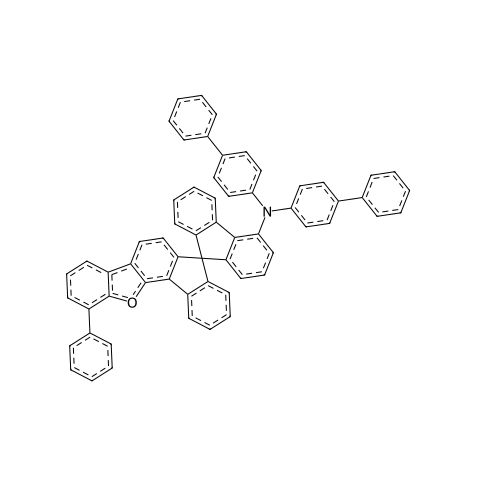 c1ccc(-c2ccc(N(c3ccc(-c4ccccc4)cc3)c3cccc4c3-c3ccccc3C43c4ccccc4-c4c3ccc3c4oc4c(-c5ccccc5)cccc43)cc2)cc1